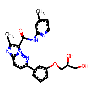 Cc1ccnc(NC(=O)c2c(C)nc3ccc(-c4cccc(OCC(O)CO)c4)nn23)c1